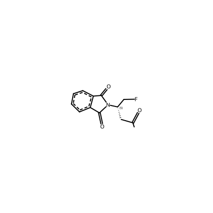 CC(=O)C[C@@H](CF)N1C(=O)c2ccccc2C1=O